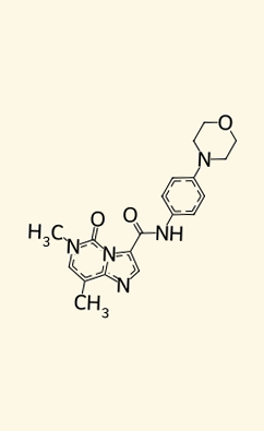 Cc1cn(C)c(=O)n2c(C(=O)Nc3ccc(N4CCOCC4)cc3)cnc12